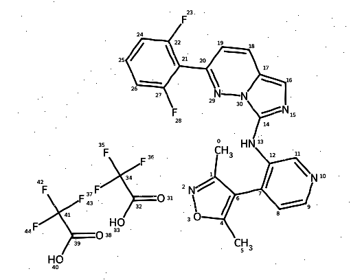 Cc1noc(C)c1-c1ccncc1Nc1ncc2ccc(-c3c(F)cccc3F)nn12.O=C(O)C(F)(F)F.O=C(O)C(F)(F)F